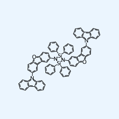 c1ccc([Si]2(c3ccccc3)N(c3ccc4oc5ccc(-n6c7ccccc7c7ccccc76)cc5c4c3)[Si](c3ccccc3)(c3ccccc3)N2c2ccc3oc4ccc(-n5c6ccccc6c6ccccc65)cc4c3c2)cc1